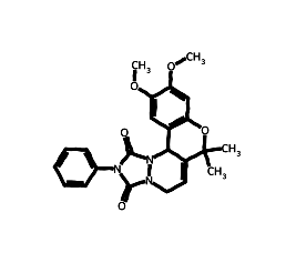 COc1cc2c(cc1OC)C1C(=CCn3c(=O)n(-c4ccccc4)c(=O)n31)C(C)(C)O2